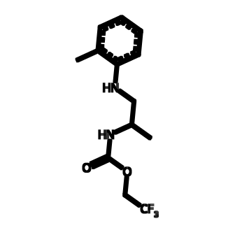 Cc1ccccc1NCC(C)NC(=O)OCC(F)(F)F